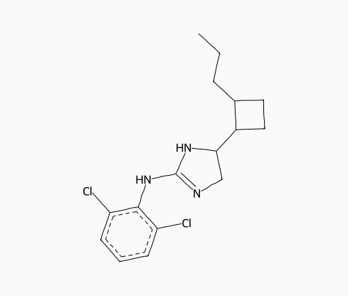 CCCC1CCC1C1CN=C(Nc2c(Cl)cccc2Cl)N1